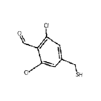 O=Cc1c(Cl)cc(CS)cc1Cl